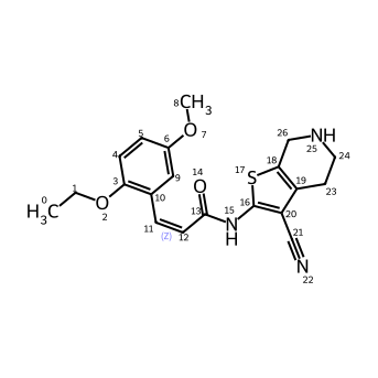 CCOc1ccc(OC)cc1/C=C\C(=O)Nc1sc2c(c1C#N)CCNC2